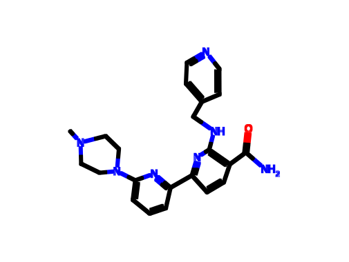 CN1CCN(c2cccc(-c3ccc(C(N)=O)c(NCc4ccncc4)n3)n2)CC1